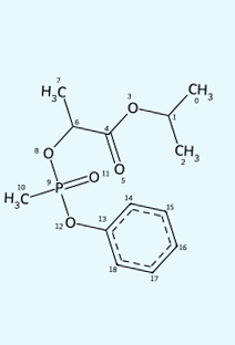 CC(C)OC(=O)C(C)OP(C)(=O)Oc1ccccc1